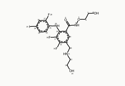 O=C(NOCCO)c1cc(CNCCO)c(F)c(F)c1Nc1ccc(I)cc1F